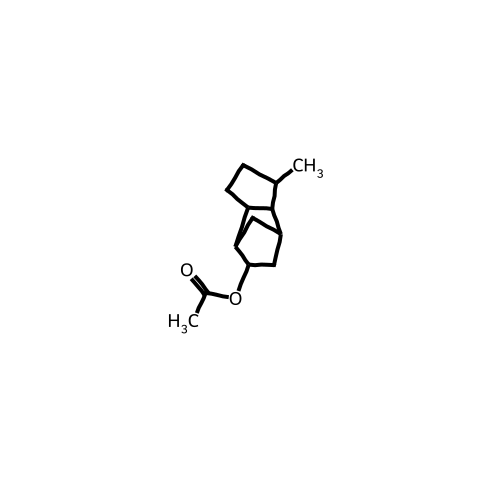 CC(=O)OC1CC2CC1C1CCC(C)C21